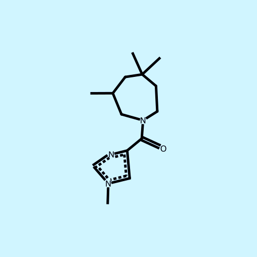 CC1CN(C(=O)c2cn(C)cn2)CCC(C)(C)C1